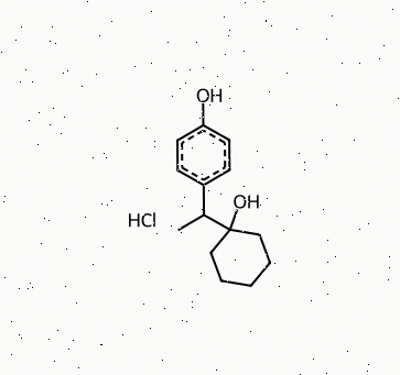 CC(c1ccc(O)cc1)C1(O)CCCCC1.Cl